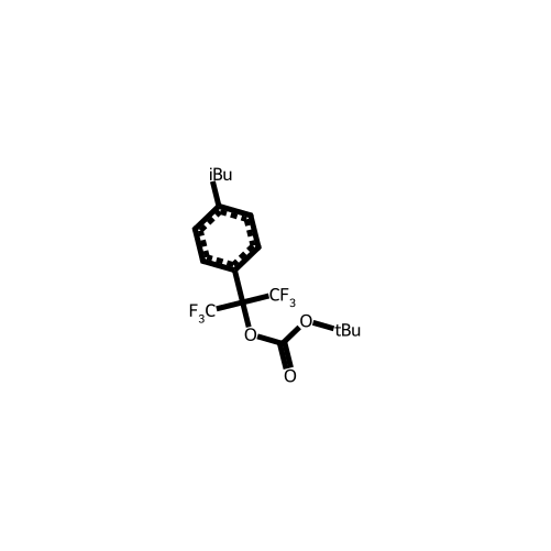 CCC(C)c1ccc(C(OC(=O)OC(C)(C)C)(C(F)(F)F)C(F)(F)F)cc1